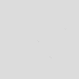 COCCCC/C(=N\OCCN)c1ccc(C(F)F)cc1